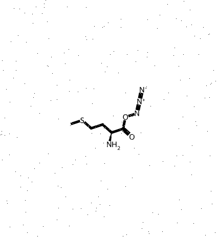 CSCC[C@H](N)C(=O)ON=[N+]=[N-]